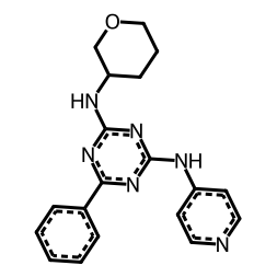 c1ccc(-c2nc(Nc3ccncc3)nc(NC3CCCOC3)n2)cc1